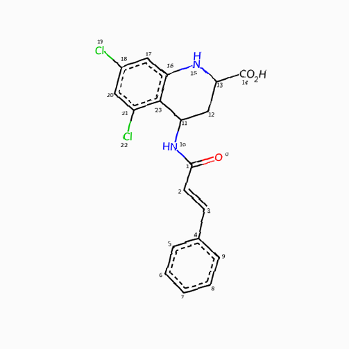 O=C(C=Cc1ccccc1)NC1CC(C(=O)O)Nc2cc(Cl)cc(Cl)c21